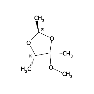 COC1(C)O[C@H](C)O[C@H]1C